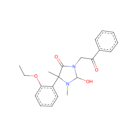 CCOc1ccccc1C1(C)C(=O)N(CC(=O)c2ccccc2)C(O)N1C